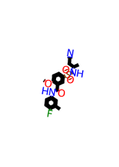 COc1ccc(S(=O)(=O)NC(C)CC#N)cc1C(=O)Nc1ccc(F)c(C)c1